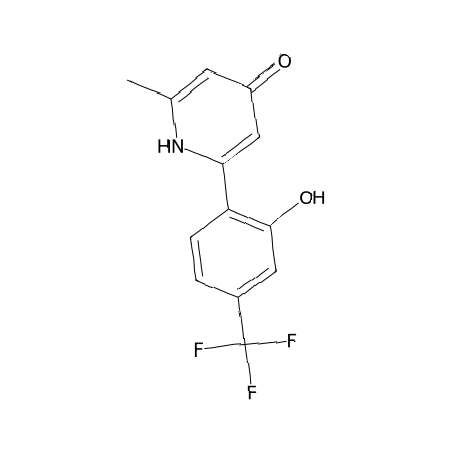 Cc1cc(=O)cc(-c2ccc(C(F)(F)F)cc2O)[nH]1